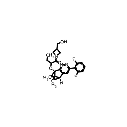 CCC(O[C@@]12CC[C@@H](c3cc(-c4c(F)cccc4F)nnc31)C2(C)C)C(=O)N1CC(CO)C1